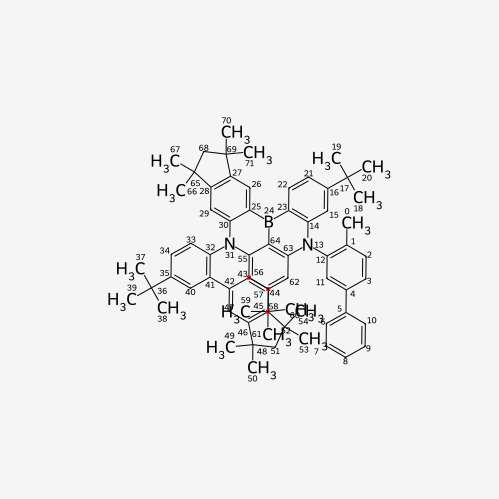 Cc1ccc(-c2ccccc2)cc1N1c2cc(C(C)(C)C)ccc2B2c3cc4c(cc3N(c3ccc(C(C)(C)C)cc3-c3ccc5c(c3)C(C)(C)CC5(C)C)c3cc(C(C)(C)C)cc1c32)C(C)(C)CC4(C)C